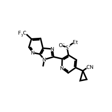 CC[S+]([O-])c1cc(C2(C#N)CC2)cnc1-c1nc2cc(C(F)(F)F)cnc2n1C